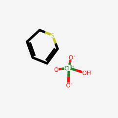 C1=CCSC=C1.[O-][Cl+3]([O-])([O-])O